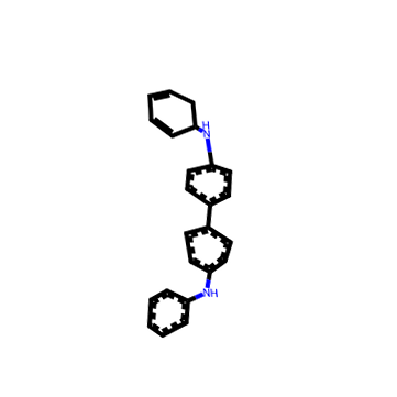 C1=CCC(Nc2ccc(-c3ccc(Nc4ccccc4)cc3)cc2)C=C1